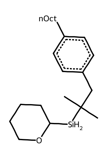 CCCCCCCCc1ccc(CC(C)(C)[SiH2]C2CCCCO2)cc1